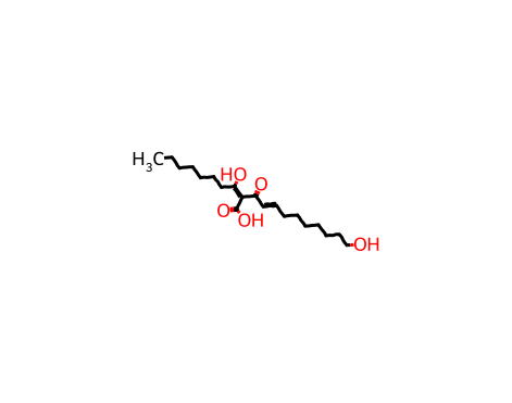 CCCCCCCC(O)=C(C(=O)O)C(=O)C=CCCCCCCCO